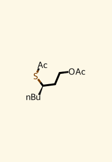 CCCC[C@H](CCOC(C)=O)SC(C)=O